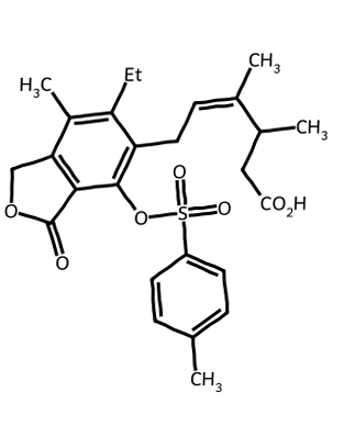 CCc1c(C)c2c(c(OS(=O)(=O)c3ccc(C)cc3)c1CC=C(C)C(C)CC(=O)O)C(=O)OC2